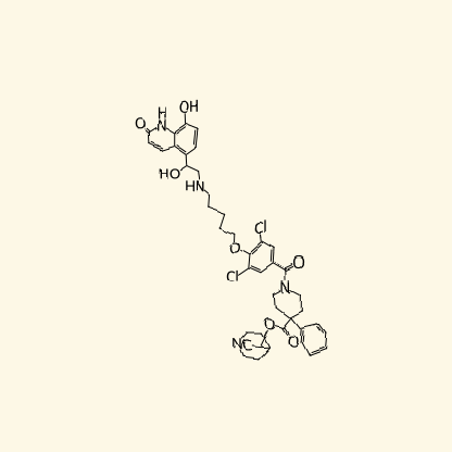 O=C(c1cc(Cl)c(OCCCCCNCC(O)c2ccc(O)c3[nH]c(=O)ccc23)c(Cl)c1)N1CCC(C(=O)OC2CN3CCC2CC3)(c2ccccc2)CC1